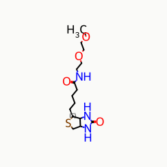 COCCOCCNC(=O)CCCC[C@@H]1SCC2NC(=O)NC21